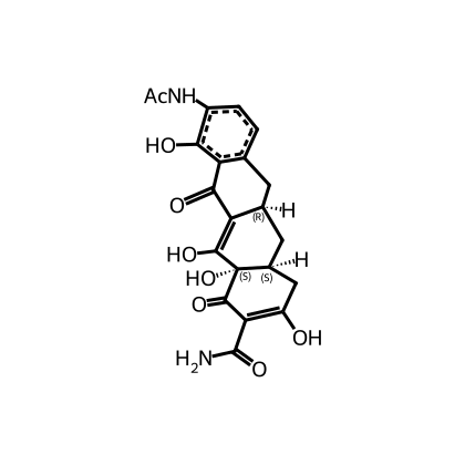 CC(=O)Nc1ccc2c(c1O)C(=O)C1=C(O)[C@]3(O)C(=O)C(C(N)=O)=C(O)C[C@@H]3C[C@@H]1C2